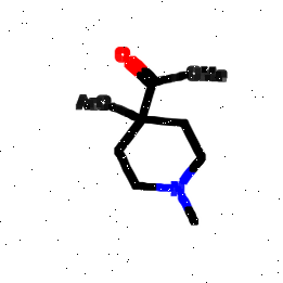 COC(=O)C1(OC(C)=O)CCN(C)CC1